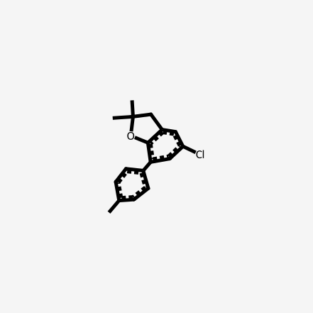 Cc1ccc(-c2cc(Cl)cc3c2OC(C)(C)C3)cc1